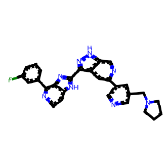 Fc1cccc(-c2nccc3[nH]c(-c4n[nH]c5cnc(-c6cncc(CN7CCCC7)c6)cc45)nc23)c1